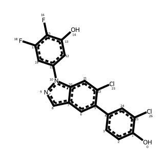 Oc1ccc(-c2cc3cnn(-c4cc(O)c(F)c(F)c4)c3cc2Cl)cc1Cl